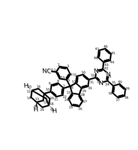 N#Cc1cccc(C2(c3ccc(C45C[C@H]6C[C@@H](C4)C[C@@H](C5)C6)cc3)c3ccccc3-c3cc(-c4nc(-c5ccccc5)nc(-c5ccccc5)n4)ccc32)c1